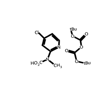 CC(C)(C)OC(=O)OC(=O)OC(C)(C)C.CN(C(=O)O)c1cc(Cl)ccn1